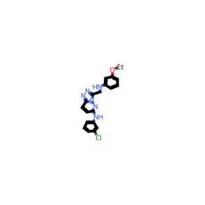 CCOc1cccc(NCc2nnc3ccc(Nc4cccc(Cl)c4)nn23)c1